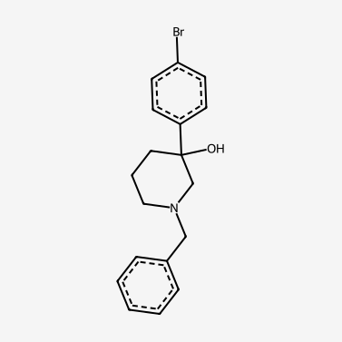 OC1(c2ccc(Br)cc2)CCCN(Cc2ccccc2)C1